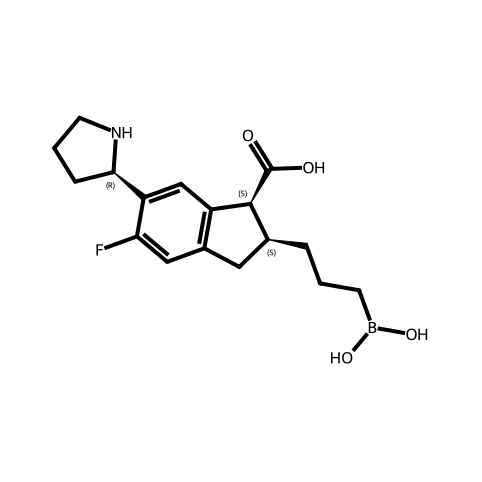 O=C(O)[C@@H]1c2cc([C@H]3CCCN3)c(F)cc2C[C@@H]1CCCB(O)O